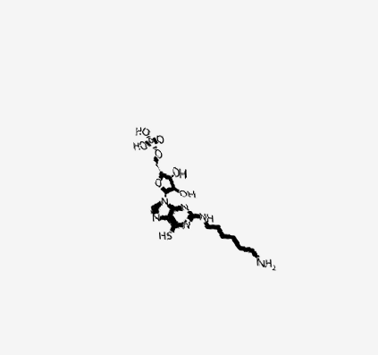 NCCCCCCNc1nc(S)c2ncn([C@@H]3O[C@H](COP(=O)(O)O)[C@H](O)C3O)c2n1